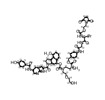 Cc1cccc2c(OC(=O)N(CCOCCO)CCN(C)C(=O)OCc3ccc(NC(=O)CNC(=O)C(NC(=O)OCCN4C(=O)C=CC4=O)C(C)C)cc3)cc3c(c12)CCN3C(=O)c1cc2cc(NC(=O)c3ccc(O)cc3)cnc2[nH]1